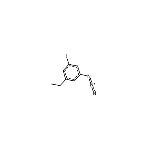 CCc1cc(I)cc(N=[N+]=[N-])c1